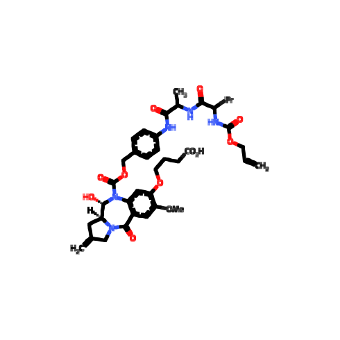 C=CCOC(=O)NC(C(=O)NC(C)C(=O)Nc1ccc(COC(=O)N2c3cc(OCCCC(=O)O)c(OC)cc3C(=O)N3CC(=C)C[C@H]3[C@@H]2O)cc1)C(C)C